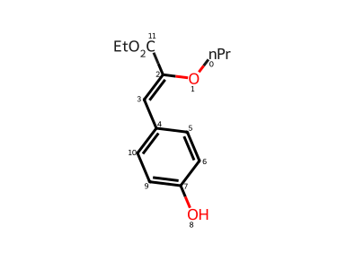 CCCOC(=Cc1ccc(O)cc1)C(=O)OCC